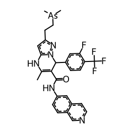 CC1=C(C(=O)Nc2ccc3cnccc3c2)C(c2ccc(C(F)(F)F)c(F)c2)n2nc(CC[As](C)C)cc2N1